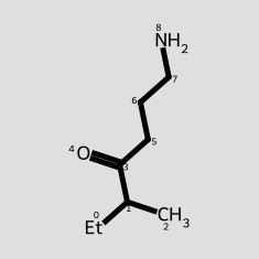 CCC(C)C(=O)CCCN